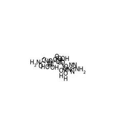 NC(=O)c1ccc[n+]([C@H]2O[C@H](COP(=O)([O-])OP(=O)(O)OC[C@H]3O[C@@H](n4cnc5c(N)ncnc54)[C@H](O)[C@@H]3O)[C@@H](O)[C@H]2O)c1